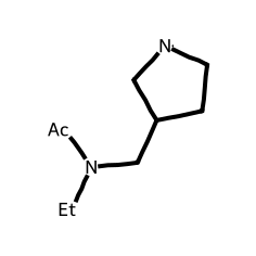 CCN(CC1CC[N]C1)C(C)=O